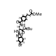 COC(=O)CCc1ccc(C(=O)NC[C@H](Nc2nc3cc(Br)ccc3o2)C(=O)OC(C)(C)C)cc1